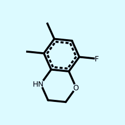 Cc1cc(F)c2c(c1C)NCCO2